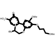 COCCCOc1cc2c(cc1OC)-c1cc(=O)c(C(=O)O)cn1C(C(C)(C)C)CO2